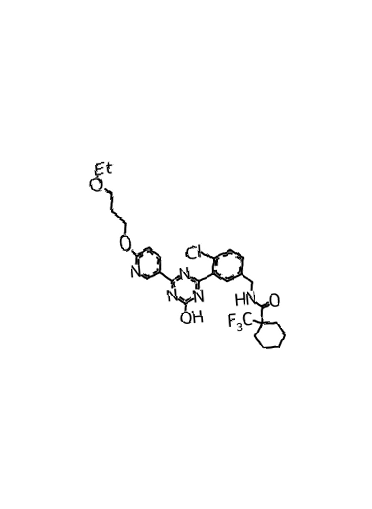 CCOCCCOc1ccc(-c2nc(O)nc(-c3cc(CNC(=O)C4(C(F)(F)F)CCCCC4)ccc3Cl)n2)cn1